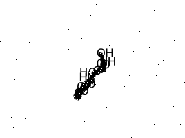 O=S(=O)(NCCCO)c1cccc(OCC(O)CNC2COC3(CCN(S(=O)(=O)c4ccc5ccccc5c4)CC3)C2)c1